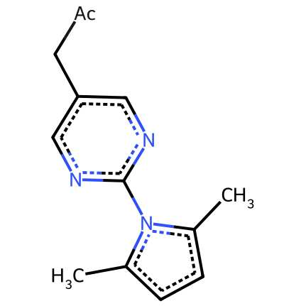 CC(=O)Cc1cnc(-n2c(C)ccc2C)nc1